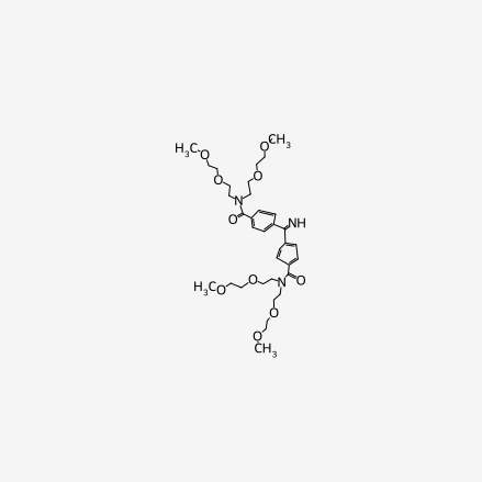 COCCOCCN(CCOCCOC)C(=O)c1ccc(C(=N)c2ccc(C(=O)N(CCOCCOC)CCOCCOC)cc2)cc1